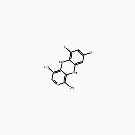 Oc1nnc(O)c2c1Nc1cc(F)cc(F)c1N2